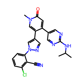 CC(C)Nc1ncc(-c2cc(=O)n(C)cc2-c2cnn(-c3cccc(Cl)c3C#N)c2)cn1